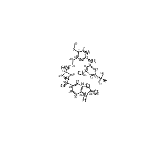 CCc1cnc(Nc2cc(Cl)cc(C(C)(C)F)c2)nc1CCNC1CN(C(=O)c2ccc3[nH]c(=O)oc3c2)C1